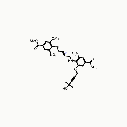 COC(=O)c1cc(OC)c(NC/C=C/CNc2c(OCC#CC(C)(C)O)cc(C(N)=O)cc2[N+](=O)[O-])c([N+](=O)[O-])c1